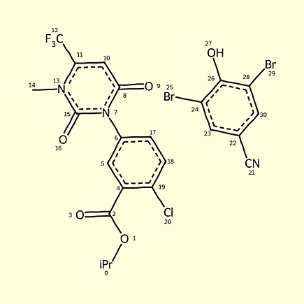 CC(C)OC(=O)c1cc(-n2c(=O)cc(C(F)(F)F)n(C)c2=O)ccc1Cl.N#Cc1cc(Br)c(O)c(Br)c1